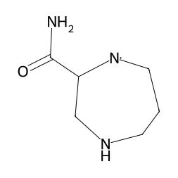 NC(=O)C1CNCCC[N]1